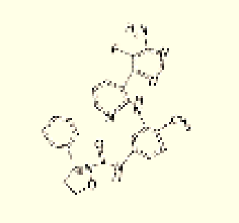 Cc1ccc(NC(=O)N2OCC[C@@H]2c2ccccc2)cc1Nc1ncccc1-c1ncnc(N)c1F